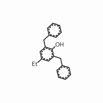 CCc1cc(Cc2ccccc2)c(O)c(Cc2ccccc2)c1